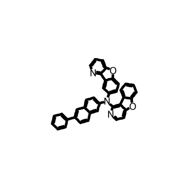 c1ccc(-c2ccc3cc(N(c4ccc5oc6cccnc6c5c4)c4nccc5oc6ccccc6c45)ccc3c2)cc1